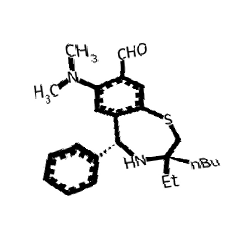 CCCC[C@]1(CC)CSc2cc(C=O)c(N(C)C)cc2[C@@H](c2ccccc2)N1